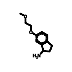 COCCOc1ccc2c(c1)C(N)CC2